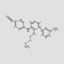 CCCCOc1c(Nc2ccc(C#N)cc2)ncnc1-c1cccc(C)c1